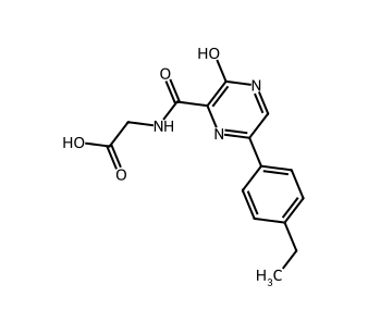 CCc1ccc(-c2cnc(O)c(C(=O)NCC(=O)O)n2)cc1